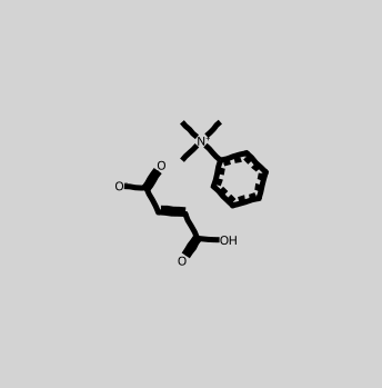 C[N+](C)(C)c1ccccc1.O=C([O-])C=CC(=O)O